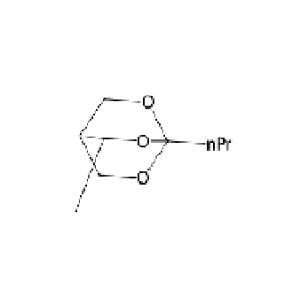 CCCC12OCC(CO1)C(C)O2